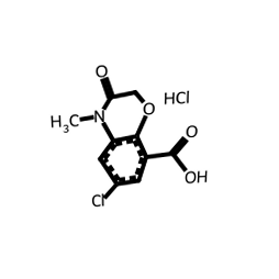 CN1C(=O)COc2c(C(=O)O)cc(Cl)cc21.Cl